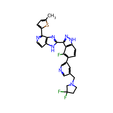 Cc1ccc(-c2nccc3[nH]c(-c4n[nH]c5ccc(-c6cncc(CN7CCC(F)(F)C7)c6)c(F)c45)nc23)s1